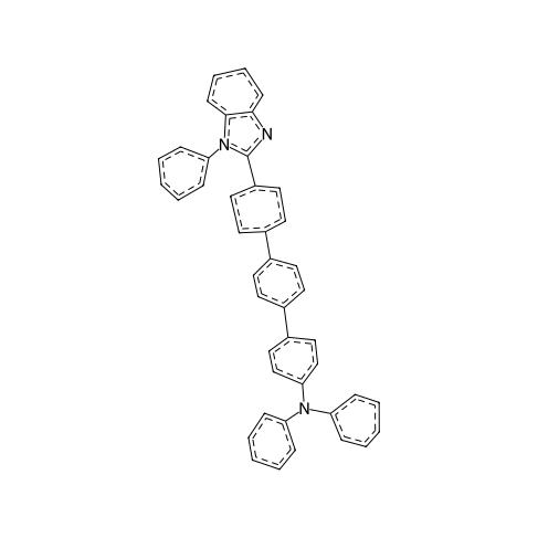 c1ccc(N(c2ccccc2)c2ccc(-c3ccc(-c4ccc(-c5nc6ccccc6n5-c5ccccc5)cc4)cc3)cc2)cc1